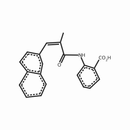 CC(=Cc1ccc2ccccc2c1)C(=O)Nc1ccccc1C(=O)O